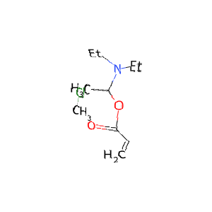 C=CC(=O)OC(C)N(CC)CC.CCl